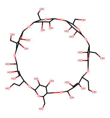 OCCC1OC2OC(CO)C(OC(O)/C(O)=C(\O)C(CCO)OC3OC(CO)C(OC4OC(CO)C(OC5OC(CO)C(OC6OC(CO)C(OC(O)/C(O)=C\1O)C(O)C6O)C(O)C5O)C(O)C4O)C(O)C3O)C(O)C2O